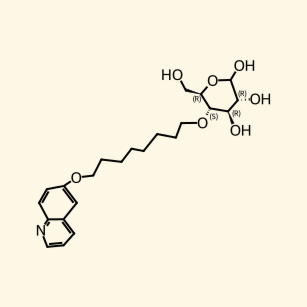 OC[C@H]1OC(O)[C@H](O)[C@@H](O)[C@@H]1OCCCCCCCCOc1ccc2ncccc2c1